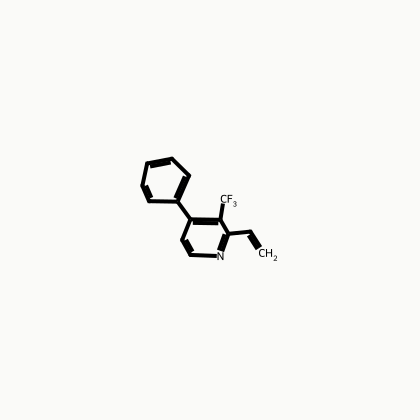 C=Cc1nccc(-c2ccccc2)c1C(F)(F)F